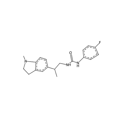 CC(CNC(=O)Nc1ccc(F)cc1)c1ccc2c(c1)CCN2C